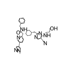 Cn1cc(-c2ccc(C(C(=O)NCc3ccccc3)[C@H]3CC[C@H](Cc4ncc(C#N)c(NCCCO)n4)CC3)nc2)cn1